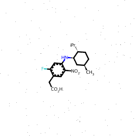 CC(C)[C@@H]1CC[C@@H](C)C[C@H]1Nc1cc(F)c(CC(=O)O)cc1[N+](=O)[O-]